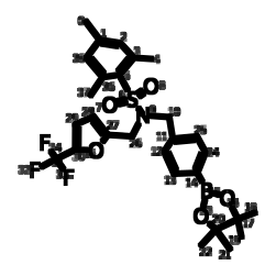 Cc1cc(C)c(S(=O)(=O)N(Cc2ccc(B3OC(C)(C)C(C)(C)O3)cc2)Cc2ccc(C(F)(F)F)o2)c(C)c1